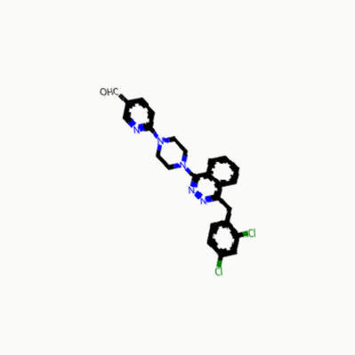 O=Cc1ccc(N2CCN(c3nnc(Cc4ccc(Cl)cc4Cl)c4ccccc34)CC2)nc1